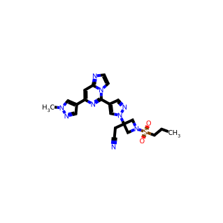 CCCS(=O)(=O)N1CC(CC#N)(n2cc(-c3nc(-c4cnn(C)c4)cc4nccn34)cn2)C1